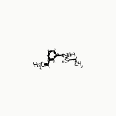 C=Cc1cccc(NSCC)c1